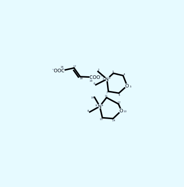 C[N+]1(C)CCOCC1.C[N+]1(C)CCOCC1.O=C([O-])C=CC(=O)[O-]